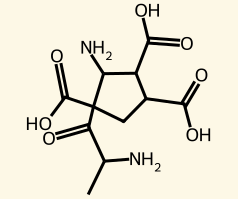 CC(N)C(=O)C1(C(=O)O)CC(C(=O)O)C(C(=O)O)C1N